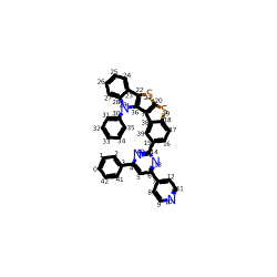 c1ccc(-c2cc(-c3ccncc3)nc(-c3ccc4sc5sc6c7ccccc7n(-c7ccccc7)c6c5c4c3)n2)cc1